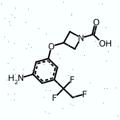 Nc1cc(OC2CN(C(=O)O)C2)cc(C(F)(F)CF)c1